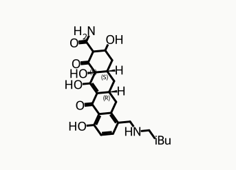 CCC(C)CNCc1ccc(O)c2c1C[C@H]1C[C@H]3CC(O)C(C(N)=O)C(=O)[C@@]3(O)C(O)=C1C2=O